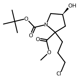 COC(=O)C1(CCCCl)C[C@H](O)CN1C(=O)OC(C)(C)C